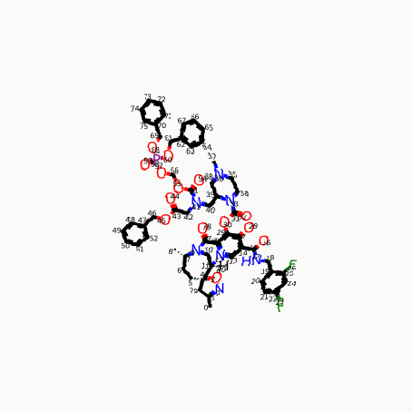 CC1=NO[C@@]2(CC[C@H](C)N3C[C@H]2n2cc(C(=O)NCc4ccc(F)cc4F)c(=O)c(OC(=O)N4CCN(C)CC4CN(CC(=O)OCc4ccccc4)C(=O)OCOP(=O)(OCc4ccccc4)OCc4ccccc4)c2C3=O)C1